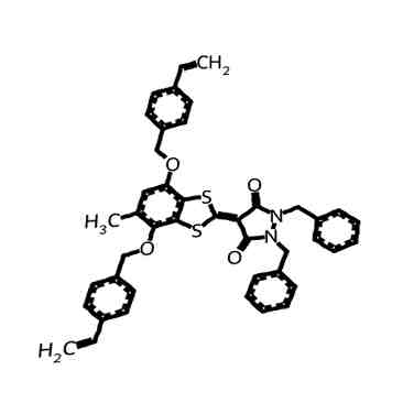 C=Cc1ccc(COc2cc(C)c(OCc3ccc(C=C)cc3)c3c2SC(=C2C(=O)N(Cc4ccccc4)N(Cc4ccccc4)C2=O)S3)cc1